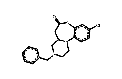 O=C1CC2CN(Cc3ccccc3)CCN2c2ccc(Cl)cc2N1